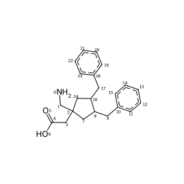 NCC1(CC(=O)O)CC(Cc2ccccc2)C(Cc2ccccc2)C1